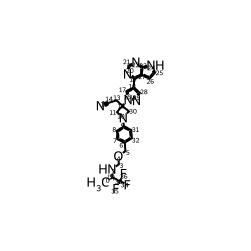 C[C@H](NCOCc1ccc(N2CC(CC#N)(n3cc(-c4ncnc5[nH]ccc45)cn3)C2)cc1)C(F)(F)F